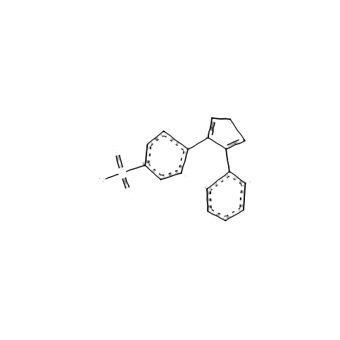 NS(=O)(=O)c1ccc(C2=CCC=C2c2ccccc2)cc1